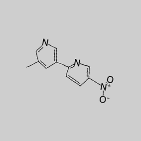 Cc1cncc(-c2ccc([N+](=O)[O-])cn2)c1